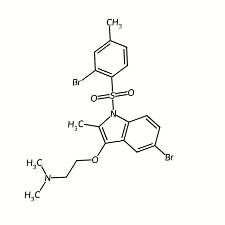 Cc1ccc(S(=O)(=O)n2c(C)c(OCCN(C)C)c3cc(Br)ccc32)c(Br)c1